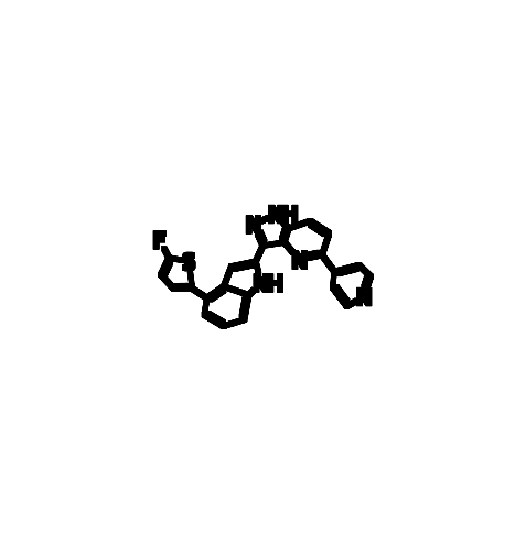 Fc1ccc(-c2cccc3[nH]c(-c4n[nH]c5ccc(-c6ccncc6)nc45)cc23)s1